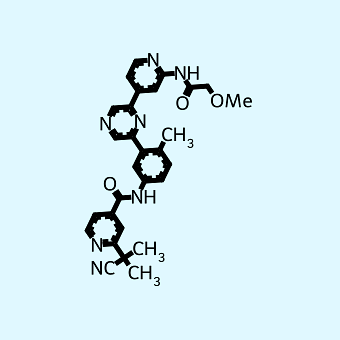 COCC(=O)Nc1cc(-c2cncc(-c3cc(NC(=O)c4ccnc(C(C)(C)C#N)c4)ccc3C)n2)ccn1